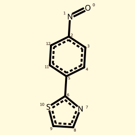 O=Nc1ccc(-c2nccs2)cc1